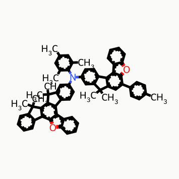 Cc1ccc(-c2cc3c(c4c2oc2ccccc24)-c2ccc(N(c4ccc5c(c4)C(C)(C)c4c6c(c7oc8ccccc8c7c4-5)-c4ccccc4C6(C)C)c4c(C)cc(C)cc4C)cc2C3(C)C)cc1